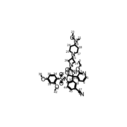 CCOc1ncccc1C1(NC(=O)N2CC(N3CCC(N(C)OC)CC3)C2)C(=O)N(S(=O)(=O)c2ccc(OC)cc2OC)c2ccc(C#N)cc21